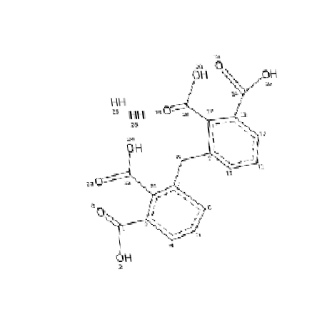 O=C(O)c1cccc(Cc2cccc(C(=O)O)c2C(=O)O)c1C(=O)O.[HH].[HH]